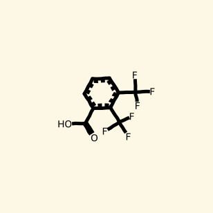 O=C(O)c1cccc(C(F)(F)F)c1C(F)(F)F